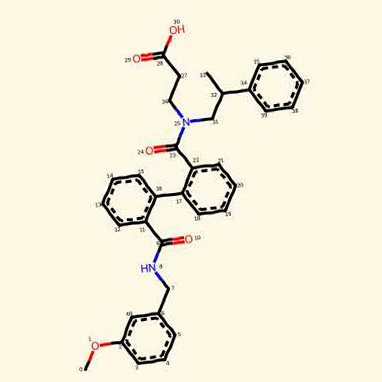 COc1cccc(CNC(=O)c2ccccc2-c2ccccc2C(=O)N(CCC(=O)O)CC(C)c2ccccc2)c1